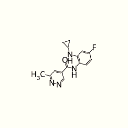 Cc1cc(C(=O)Nc2ccc(F)cc2NC2CC2)cnn1